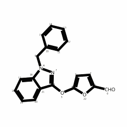 O=Cc1ccc(Oc2nn(Cc3ccccc3)c3ccccc23)o1